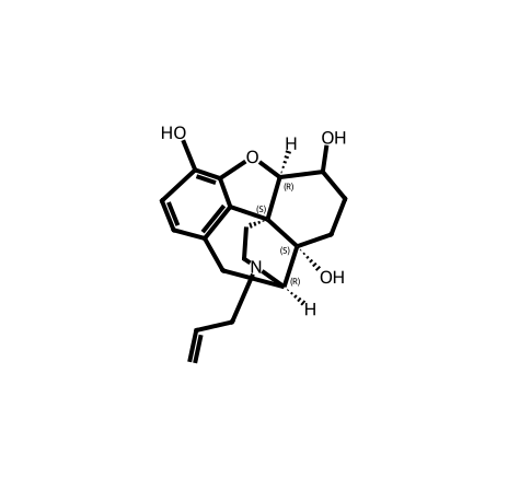 C=CCN1CC[C@]23c4c5ccc(O)c4O[C@H]2C(O)CC[C@@]3(O)[C@H]1C5